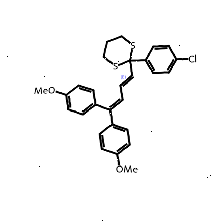 COc1ccc(C(=C/C=C/C2(c3ccc(Cl)cc3)SCCCS2)c2ccc(OC)cc2)cc1